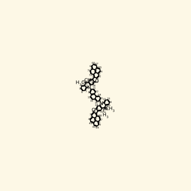 CC1(C)c2ccccc2N(c2ccc3c(ccc4cc(N5c6ccccc6C(C)(C)c6cc7c(cc65)oc5cc6ccc8cccc9ccc(c57)c6c89)ccc43)c2)c2cc3oc4cc5ccc6cccc7ccc(c4c3cc21)c5c67